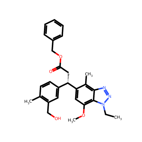 CCn1nnc2c(C)c([C@@H](CC(=O)OCc3ccccc3)c3ccc(C)c(CO)c3)cc(OC)c21